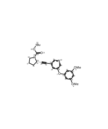 COc1cc(OC)cc(Oc2cncc(C#C[C@@H]3CCCN3C(=O)OC(C)(C)C)c2)c1